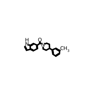 Cc1cccc(C2CCN(C(=O)c3ccc4cc[nH]c4c3)CC2)c1